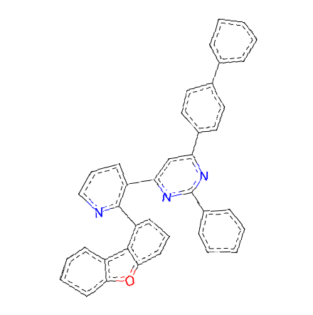 c1ccc(-c2ccc(-c3cc(-c4cccnc4-c4cccc5oc6ccccc6c45)nc(-c4ccccc4)n3)cc2)cc1